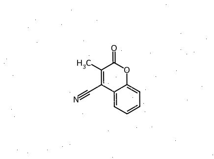 Cc1c(C#N)c2ccccc2oc1=O